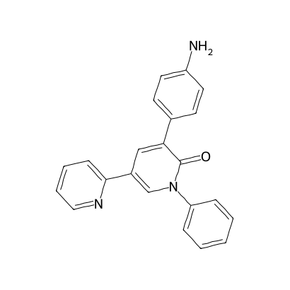 Nc1ccc(-c2cc(-c3ccccn3)cn(-c3ccccc3)c2=O)cc1